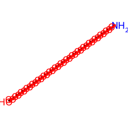 NCCOCCOCCOCCOCCOCCOCCOCCOCCOCCOCCOCCOCCOCCOCCOCCOCCOCCOCCOCCOCCOCCOCCOCCOCCOCCOCCOCCOCCOCCOCCOCCOCCOCCOCCOCCOCCC(=O)O